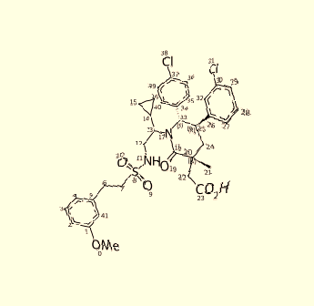 COc1cccc(CCS(=O)(=O)NCC(C2CC2)N2C(=O)[C@@](C)(CC(=O)O)C[C@H](c3cccc(Cl)c3)[C@H]2c2ccc(Cl)cc2)c1